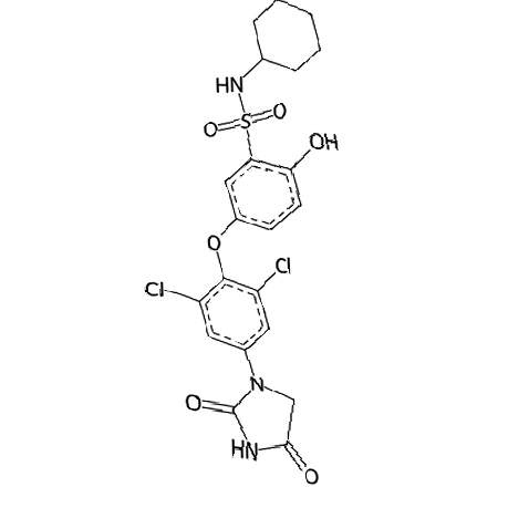 O=C1CN(c2cc(Cl)c(Oc3ccc(O)c(S(=O)(=O)NC4CCCCC4)c3)c(Cl)c2)C(=O)N1